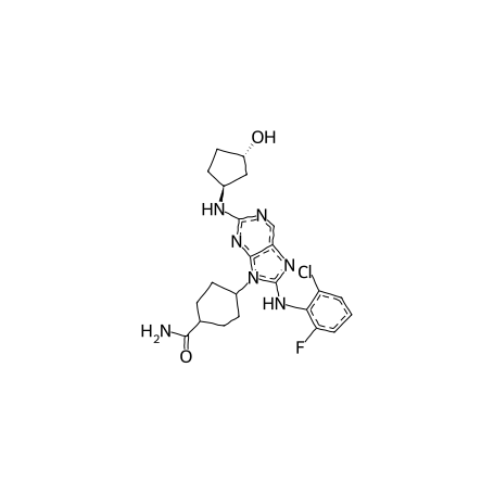 NC(=O)C1CCC(n2c(Nc3c(F)cccc3Cl)nc3cnc(N[C@H]4CC[C@H](O)C4)nc32)CC1